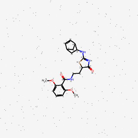 COc1cccc(OC)c1C(=O)NCCC1SC(NC2CC3C=CC2C3)=NC1=O